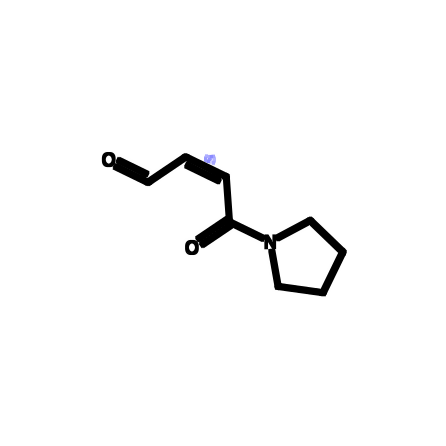 O=C/C=C\C(=O)N1CCCC1